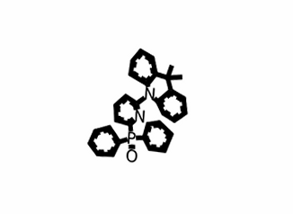 CC1(C)c2ccccc2N(c2cccc(P(=O)(c3ccccc3)c3ccccc3)n2)c2ccccc21